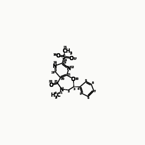 CN1CC(c2ccccc2)Oc2nc(S(C)(=O)=O)ncc2C1=O